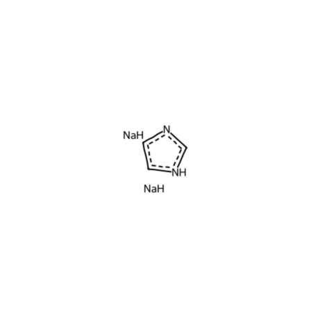 [NaH].[NaH].c1c[nH]cn1